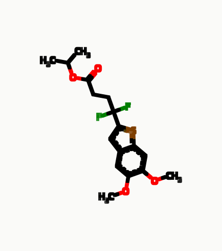 COc1cc2cc(C(F)(F)CCC(=O)OC(C)C)sc2cc1OC